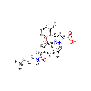 COc1cccc(OC)c1-c1cc(C(=O)O)nn1-c1ccc(S(=O)(=O)N(C)CCCN(C)C)cc1C(C)C